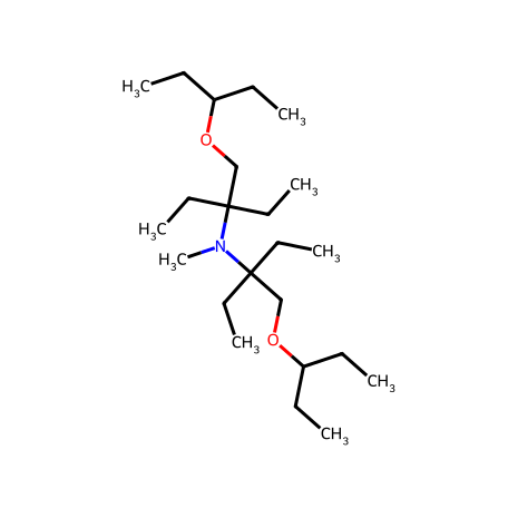 CCC(CC)OCC(CC)(CC)N(C)C(CC)(CC)COC(CC)CC